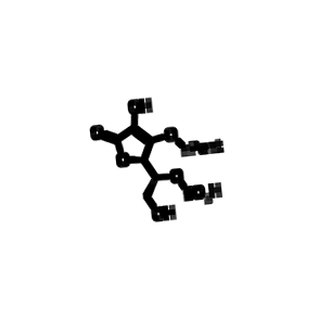 CCCCCOC1=C(O)C(=O)O[C@@H]1[C@H](CO)OS(=O)(=O)O